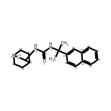 CC(C)(NC(=O)NC1CN2CCC1CC2)c1ccc2ccccc2c1